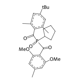 COc1cc(C)cc(OC)c1C(=O)P(=O)(C(=O)c1c(C)cc(C(C)(C)C)cc1C)C1CCCC1